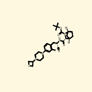 CC(C)(C)OC(=O)N1[C@@H]2CC[C@@H](C2)[C@H]1C(=O)N[C@H](C#N)Cc1ccc(N2CCN(C3COC3)CC2)cc1F